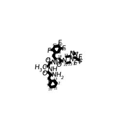 CC(NC(=O)C(N)Cc1ccccc1)C(=O)N[C@@H](CC(=O)N1CCn2c(nnc2C(F)(F)F)C1)Cc1cc(F)c(F)cc1F